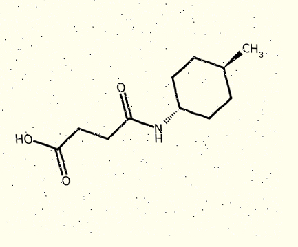 C[C@H]1CC[C@H](NC(=O)CCC(=O)O)CC1